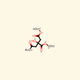 CCCCCCCCOC(=O)CC(O)(CC(=O)OC(C)=O)C(=O)OCCCCCCCC